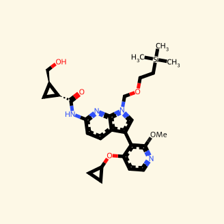 COc1nccc(OC2CC2)c1-c1cn(COCC[Si](C)(C)C)c2nc(NC(=O)[C@@H]3C[C@H]3CO)ccc12